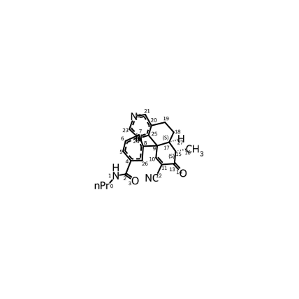 CCCNC(=O)c1cccc(C23C=C(C#N)C(=O)[C@@H](C)[C@@H]2CCc2cncnc23)c1